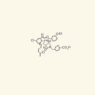 C=C(Cl)/C=C\C=C(/F)[C@H]1[C@@H]2C(=O)N(Cc3ccc(C(=O)O)cc3)C[C@@H]2N(Cc2cccc(OCC)c2)[C@@]12C(=O)Nc1cc(Cl)ccc12